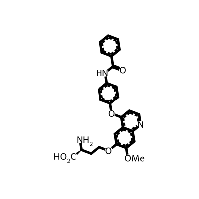 COc1cc2nccc(Oc3ccc(NC(=O)c4ccccc4)cc3)c2cc1OCC[C@H](N)C(=O)O